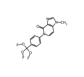 Cn1cnc2c(=O)n(-c3ccc(C(OF)(OF)OF)cc3)ccc21